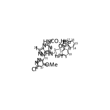 CCC[C@@H](CCO[Si](c1ccccc1)(c1ccccc1)C(C)(C)C)Nc1nc(NC(=O)O)nc2c(I)nn(Cc3nnc(Cl)cc3OC)c12